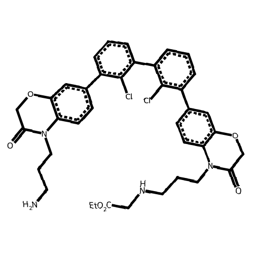 CCOC(=O)CNCCCN1C(=O)COc2cc(-c3cccc(-c4cccc(-c5ccc6c(c5)OCC(=O)N6CCCN)c4Cl)c3Cl)ccc21